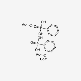 CC(=O)[O-].CC(=O)[O-].O=P(O)(O)c1ccccc1.O=P(O)(O)c1ccccc1.[Co+2]